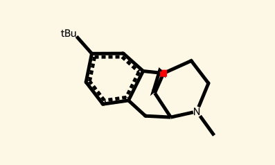 CN1CCC23CCCCC2C1Cc1ccc(C(C)(C)C)cc13